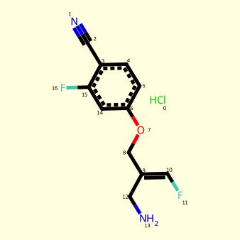 Cl.N#Cc1ccc(OCC(=CF)CN)cc1F